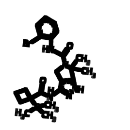 CC1(C)c2[nH]nc(NC(=O)C3(S(C)(C)C)CCC3)c2CN1C(=O)Nc1ccccc1Br